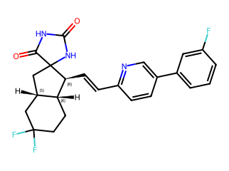 O=C1NC(=O)C2(C[C@H]3CC(F)(F)CC[C@H]3[C@@H]2C=Cc2ccc(-c3cccc(F)c3)cn2)N1